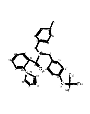 Cc1ccc(CN(Cc2ccc(OC(F)(F)F)cc2)C(=O)c2ccccc2-n2cccc2)cc1